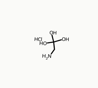 Cl.NCC(O)(O)O